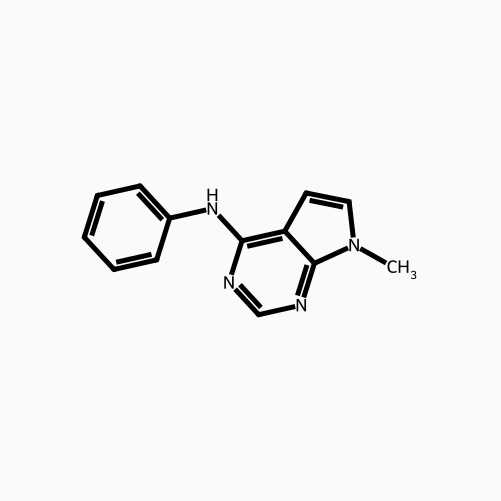 Cn1ccc2c(Nc3ccccc3)ncnc21